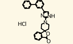 Cl.O=C1OC2(CCN(c3nc(-c4cccc(-c5ccccc5)c4)c[nH]3)CC2)c2ccccc21